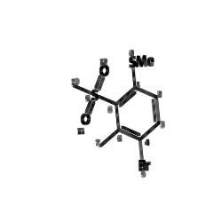 CSc1ccc(Br)c(C)c1S(C)(=O)=O